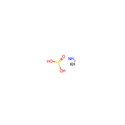 N.O=S(O)O.[KH]